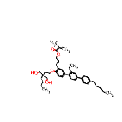 C=C(C)C(=O)OCCCc1cc(-c2ccc(-c3ccc(CCCCC)cc3)cc2CC)ccc1OCCC(CO)(CO)CCCC